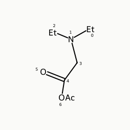 CCN(CC)CC(=O)OC(C)=O